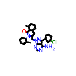 Cc1ccccc1-n1c(CN2N=C(c3cccc(Cl)c3)C3C(N)=NC=NC32)cc2cccc(C)c2c1=O